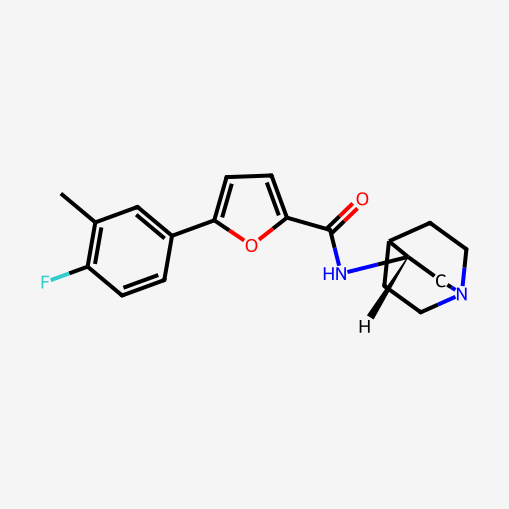 Cc1cc(-c2ccc(C(=O)N[C@H]3CN4CCC3CC4)o2)ccc1F